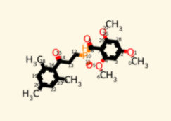 COc1cc(OC)c(C(=O)[PH](=O)CCC(=O)c2c(C)cc(C)cc2C)c(OC)c1